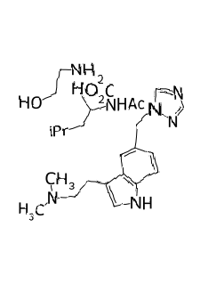 CC(=O)NC(CC(C)C)C(=O)O.CN(C)CCc1c[nH]c2ccc(Cn3cncn3)cc12.NCCO